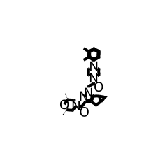 Cc1cccc(N2CCN(C(=O)Cn3nc(C(=O)N4C[C@@H](C)O[C@@H](C)C4)c4c3C3CC3C4)CC2)c1C